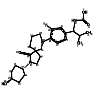 CC(C)C(NC(=O)O)c1ccc(N2CCCC3(CCN([C@H]4CC[C@H](O)CC4)C3=O)C2)c(F)c1